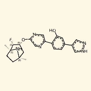 C[C@]12CC[C@](C)(N1)[C@H](F)[C@H](Oc1cnc(-c3ccc(-c4cn[nH]c4)cc3O)cn1)C2